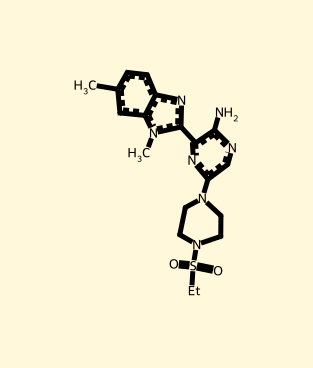 CCS(=O)(=O)N1CCN(c2cnc(N)c(-c3nc4ccc(C)cc4n3C)n2)CC1